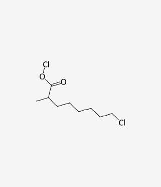 CC(CCCCCCCl)C(=O)OCl